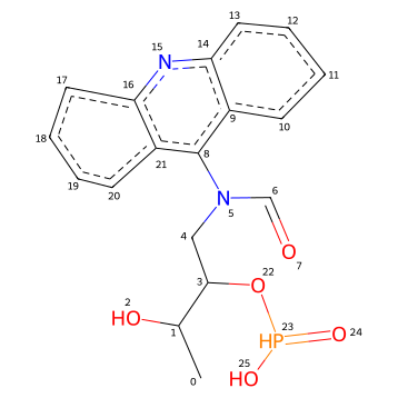 CC(O)C(CN(C=O)c1c2ccccc2nc2ccccc12)O[PH](=O)O